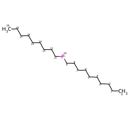 CCCCCCCCCC[P]CCCCCCCCC